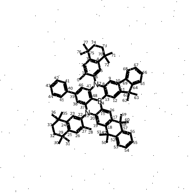 Cc1cc2c(cc1N1c3cc4c(cc3B3c5cc6c(cc5N(c5cc7c(cc5C)C(C)(C)CCC7(C)C)c5cc(-c7ccccc7)cc1c53)C(C)(C)c1ccccc1C6(C)C)C(C)(C)c1ccccc1-4)C(C)(C)CCC2(C)C